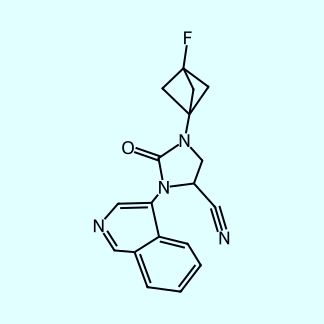 N#CC1CN(C23CC(F)(C2)C3)C(=O)N1c1cncc2ccccc12